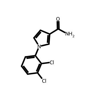 NC(=O)c1ccn(-c2cccc(Cl)c2Cl)c1